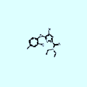 CCN(CC)C(=O)n1cc(Br)c(Sc2ccc(C)cc2Cl)n1